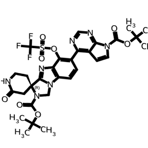 CC(C)(C)OC(=O)N1Cn2c(nc3c(OS(=O)(=O)C(F)(F)F)c(-c4ncnc5c4ccn5C(=O)OC(C)(C)C)ccc32)[C@]12CCNC(=O)C2